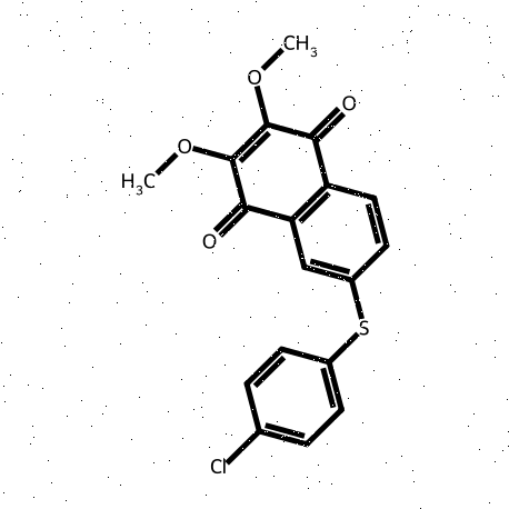 COC1=C(OC)C(=O)c2cc(Sc3ccc(Cl)cc3)ccc2C1=O